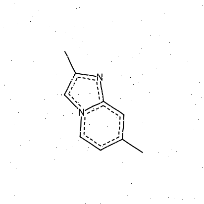 Cc1ccn2[c]c(C)nc2c1